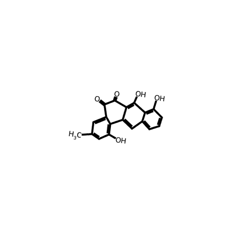 Cc1cc(O)c2c(c1)C(=O)C(=O)c1c-2cc2cccc(O)c2c1O